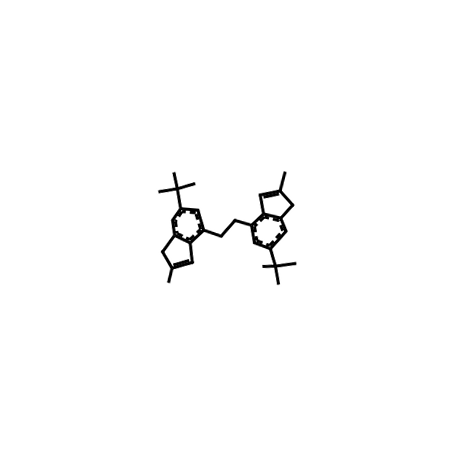 CC1=Cc2c(CCc3cc(C(C)(C)C)cc4c3C=C(C)C4)cc(C(C)(C)C)cc2C1